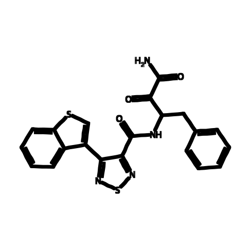 NC(=O)C(=O)C(Cc1ccccc1)NC(=O)c1nsnc1-c1csc2ccccc12